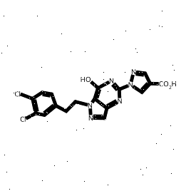 O=C(O)c1cnn(-c2nc(O)c3c(cnn3CCc3ccc(Cl)c(Cl)c3)n2)c1